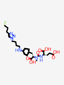 CN(C(=O)N[C@@H](CCC(=O)O)C(=O)O)[C@@H](Cc1ccc(NCCCCn2cc(CCCF)nn2)cc1)C(=O)O